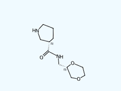 O=C(NC[C@H]1COCCO1)[C@H]1CCCNC1